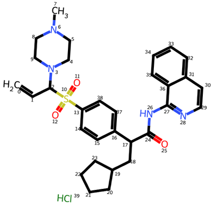 C=CC(N1CCN(C)CC1)S(=O)(=O)c1ccc(C(CC2CCCC2)C(=O)Nc2nccc3ccccc23)cc1.Cl